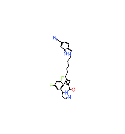 N#Cc1ccc2cn(CCCCCCC34CC(C(=O)N5N=CCC5c5cc(F)cc(F)c5)(C3)C4)nc2c1